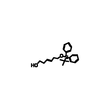 CC(C)(C)[Si](OCC/C=C/CCO)(c1ccccc1)c1ccccc1